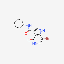 O=C(NC1CCCCC1)c1c[nH]c2c(Br)c[nH]c(=O)c12